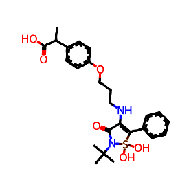 CC(C(=O)O)c1ccc(OCCCNC2=C(c3ccccc3)S(O)(O)N(C(C)(C)C)C2=O)cc1